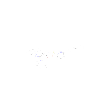 C/C=C/COc1cccc(S(=O)(=O)NC(=O)c2ccc(C(C)(C)C)nc2N2CC(C)CC2(C)C)n1